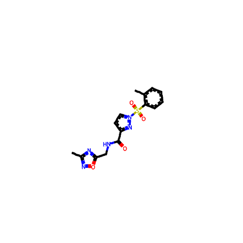 Cc1noc(CNC(=O)c2ccn(S(=O)(=O)c3ccccc3C)n2)n1